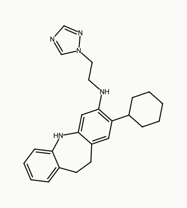 c1ccc2c(c1)CCc1cc(C3CCCCC3)c(NCCn3cncn3)cc1N2